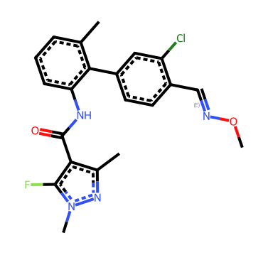 CO/N=C/c1ccc(-c2c(C)cccc2NC(=O)c2c(C)nn(C)c2F)cc1Cl